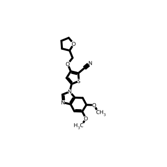 COC1=Cc2ncn(-c3cc(OCC4CCCO4)c(C#N)s3)c2CC1OC